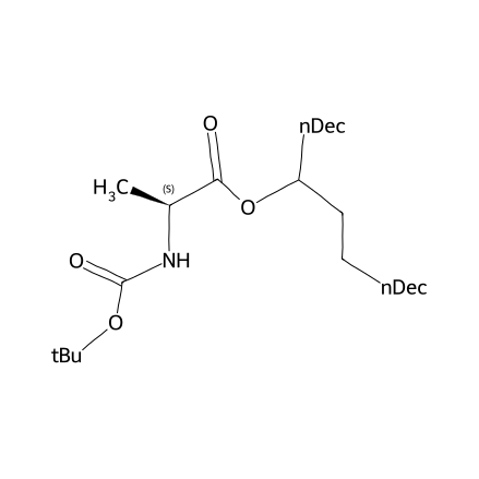 CCCCCCCCCCCCC(CCCCCCCCCC)OC(=O)[C@H](C)NC(=O)OC(C)(C)C